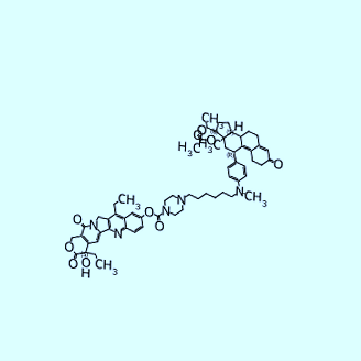 CCc1c2c(nc3ccc(OC(=O)N4CCN(CCCCCCN(C)c5ccc([C@H]6CC7(C)[C@@H](CC[C@]7(OC(C)=O)C(C)=O)C7CCC8=CC(=O)CCC8=C76)cc5)CC4)cc13)-c1cc3c(c(=O)n1C2)COC(=O)[C@]3(O)CC